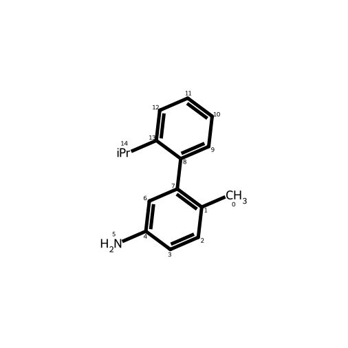 Cc1ccc(N)cc1-c1ccccc1C(C)C